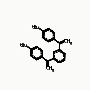 C=C(c1ccc(C(C)(C)C)cc1)c1cccc(C(=C)c2ccc(C(C)(C)C)cc2)c1